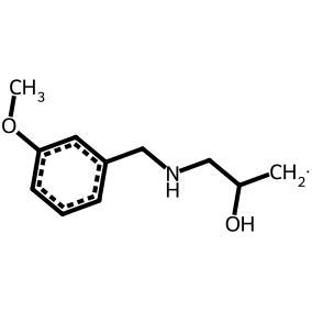 [CH2]C(O)CNCc1cccc(OC)c1